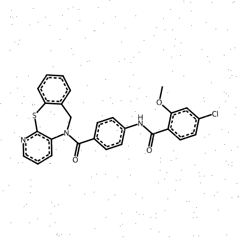 COc1cc(Cl)ccc1C(=O)Nc1ccc(C(=O)N2Cc3ccccc3Sc3ncccc32)cc1